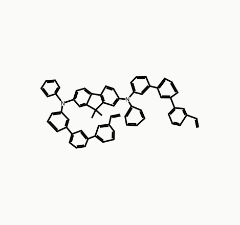 C=Cc1cccc(-c2cccc(-c3cccc(N(c4ccccc4)c4ccc5c(c4)C(C)(C)c4cc(N(c6ccccc6)c6cccc(-c7cccc(-c8cccc(C=C)c8)c7)c6)ccc4-5)c3)c2)c1